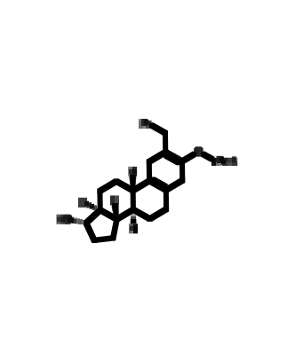 CCCCCOC1=C(CC(C)C)CC2=C(CC[C@H]3[C@@H]4CC[C@H](O)[C@H]4CC[C@H]23)C1